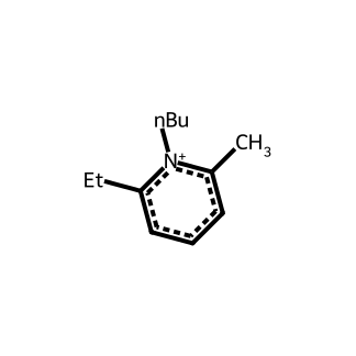 CCCC[n+]1c(C)cccc1CC